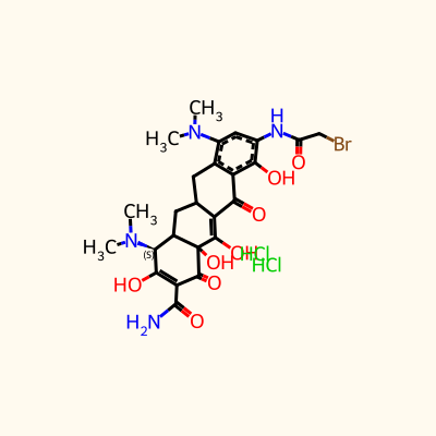 CN(C)c1cc(NC(=O)CBr)c(O)c2c1CC1CC3[C@H](N(C)C)C(O)=C(C(N)=O)C(=O)C3(O)C(O)=C1C2=O.Cl.Cl